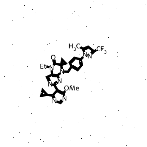 CCN1C(=O)C2(CC2)N(Cc2ccc(-n3nc(C(F)(F)F)cc3C)cc2)c2nc(-c3c(OC)ncnc3C3CC3)ncc21